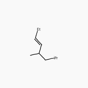 [CH2]C(C)CC(C)C=CCC